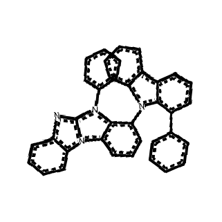 c1ccc(-c2cccc3c4ccccc4n(-c4cccc5c4n(-c4ccccc4)c4nc6ccccc6n54)c23)cc1